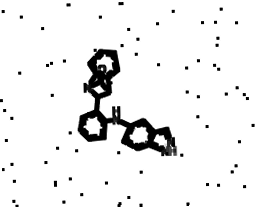 O=C1C2c3ccccc3N1C2c1ccccc1Nc1ccc2[nH]ncc2c1